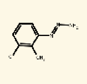 Cc1c(Cl)cccc1N=NN